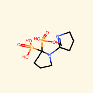 O=P(O)(O)C1(P(=O)(O)O)[C]CCN1C1=NCCC1